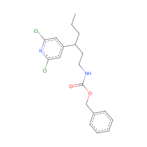 CCCC(CCNC(=O)OCc1ccccc1)c1cc(Cl)nc(Cl)c1